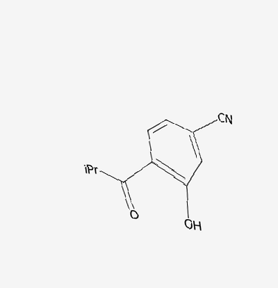 CC(C)C(=O)c1ccc(C#N)cc1O